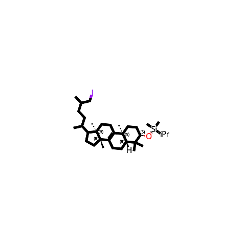 CC(CI)CCC(C)C1CC[C@@]2(C)C3=C(CC[C@]12C)[C@@]1(C)CC[C@H](O[Si](C)(C)C(C)C)C(C)(C)[C@@H]1CC3